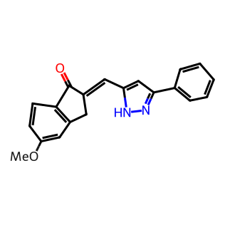 COc1ccc2c(c1)C/C(=C\c1cc(-c3ccccc3)n[nH]1)C2=O